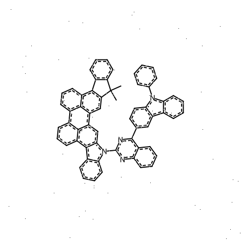 CC1(C)c2ccccc2-c2c1cc1c3cc4c(c5cccc(c6cccc2c61)c35)c1ccccc1n4-c1nc(-c2ccc3c(c2)c2ccccc2n3-c2ccccc2)c2ccccc2n1